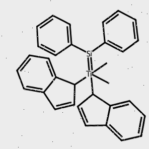 [CH3][Ti]([CH3])([CH]1C=Cc2ccccc21)([CH]1C=Cc2ccccc21)=[Si](c1ccccc1)c1ccccc1